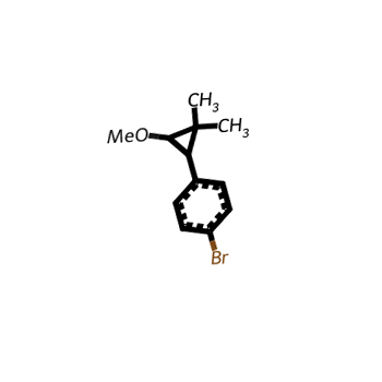 COC1C(c2ccc(Br)cc2)C1(C)C